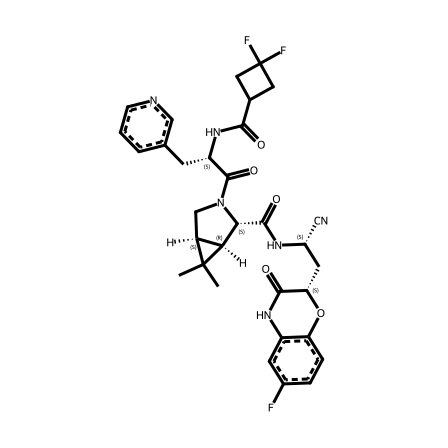 CC1(C)[C@@H]2[C@@H](C(=O)N[C@H](C#N)C[C@@H]3Oc4ccc(F)cc4NC3=O)N(C(=O)[C@H](Cc3cccnc3)NC(=O)C3CC(F)(F)C3)C[C@@H]21